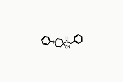 N#CC1(NCc2ccccc2)CCN(c2ccccc2)CC1